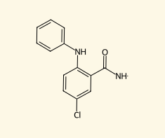 [NH]C(=O)c1cc(Cl)ccc1Nc1ccccc1